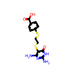 Nc1nc(N)c(SCCSc2ccc(C(=O)O)cc2)c(=O)[nH]1